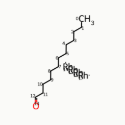 CCCCCCCCCCCCC=O.[Rh].[Rh].[Rh].[Rh]